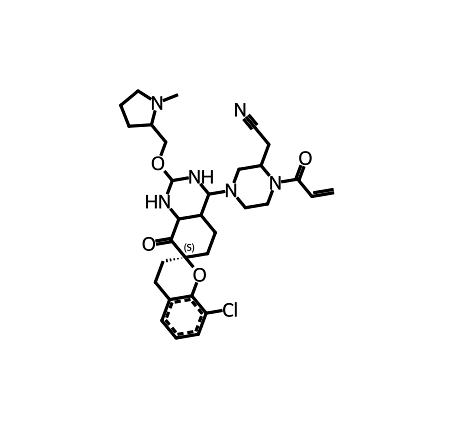 C=CC(=O)N1CCN(C2NC(OCC3CCCN3C)NC3C(=O)[C@@]4(CCc5cccc(Cl)c5O4)CCC32)CC1CC#N